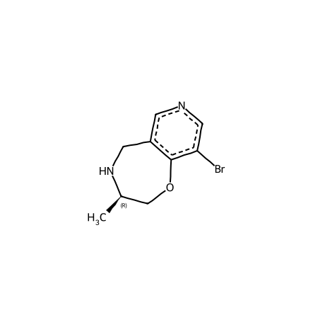 C[C@@H]1COc2c(Br)cncc2CN1